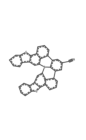 N#Cc1cc2c3c(c1)-c1cccc4c1c(cc1c5ccccc5sc41)B3c1cc3c4ccccc4sc3c3cccc-2c13